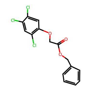 O=C(COc1cc(Cl)c(Cl)cc1Cl)OCc1ccccc1